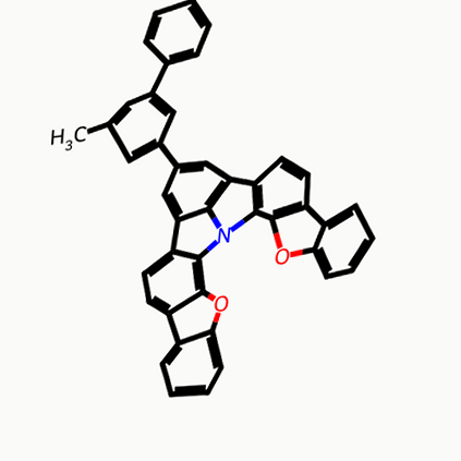 Cc1cc(-c2ccccc2)cc(-c2cc3c4ccc5c6ccccc6oc5c4n4c3c(c2)c2ccc3c5ccccc5oc3c24)c1